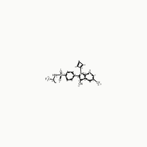 C[C@H](NS(=O)(=O)c1ccc(-c2c(C#N)c3cc(C(F)(F)F)cnc3n2C2=CC=C2)cc1)C(F)(F)F